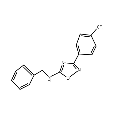 FC(F)(F)c1ccc(-c2noc(NCc3ccccc3)n2)cc1